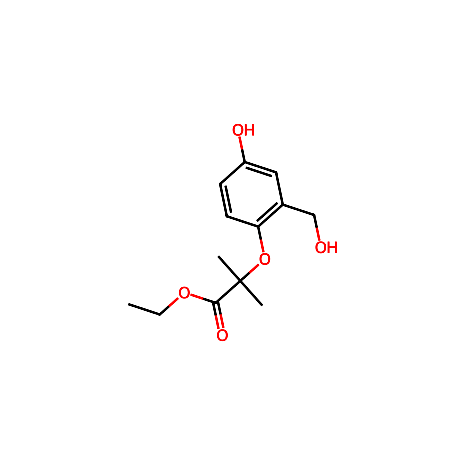 CCOC(=O)C(C)(C)Oc1ccc(O)cc1CO